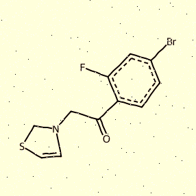 O=C(CN1C=CSC1)c1ccc(Br)cc1F